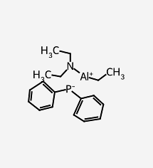 C[CH2][Al+][N](CC)CC.c1ccc([P-]c2ccccc2)cc1